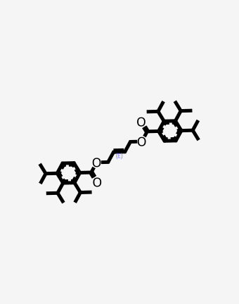 CC(C)c1ccc(C(=O)OC/C=C/COC(=O)c2ccc(C(C)C)c(C(C)C)c2C(C)C)c(C(C)C)c1C(C)C